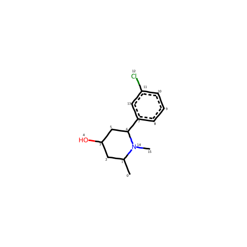 CC1CC(O)CC(c2cccc(Cl)c2)N1C